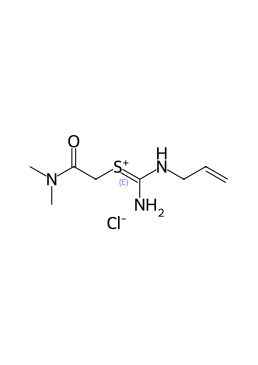 C=CCN/C(N)=[S+]/CC(=O)N(C)C.[Cl-]